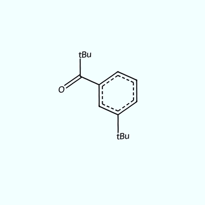 CC(C)(C)C(=O)c1cccc(C(C)(C)C)c1